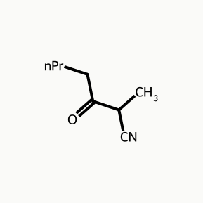 CCCCC(=O)C(C)C#N